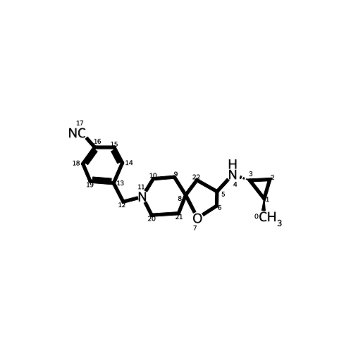 C[C@@H]1C[C@H]1NC1COC2(CCN(Cc3ccc(C#N)cc3)CC2)C1